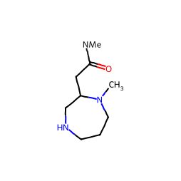 CNC(=O)CC1CNCCCN1C